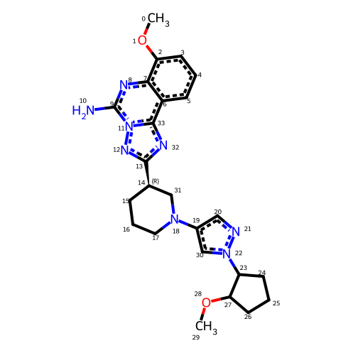 COc1cccc2c1nc(N)n1nc([C@@H]3CCCN(c4cnn(C5CCCC5OC)c4)C3)nc21